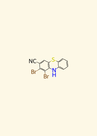 N#Cc1cc2c(c(Br)c1Br)Nc1ccccc1S2